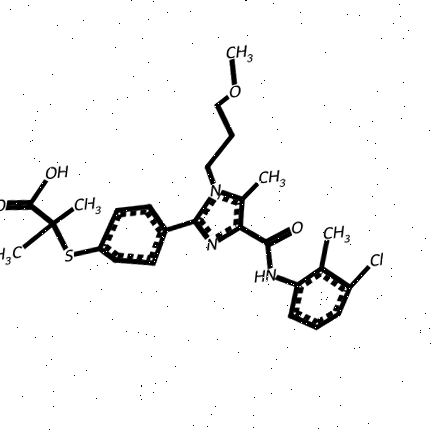 COCCCn1c(-c2ccc(SC(C)(C)C(=O)O)cc2)nc(C(=O)Nc2cccc(Cl)c2C)c1C